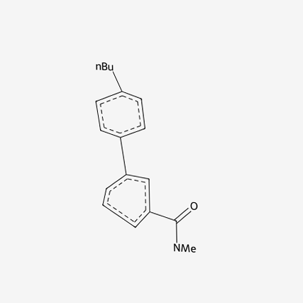 CCCCc1ccc(-c2cccc(C(=O)NC)c2)cc1